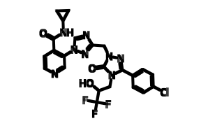 O=C(NC1CC1)c1ccncc1-n1cnc(Cn2nc(-c3ccc(Cl)cc3)n(CC(O)C(F)(F)F)c2=O)n1